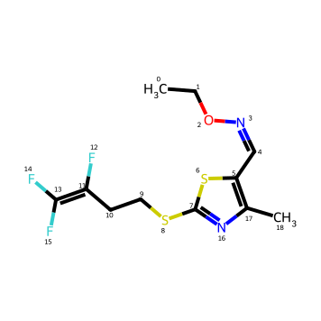 CCO/N=C\c1sc(SCCC(F)=C(F)F)nc1C